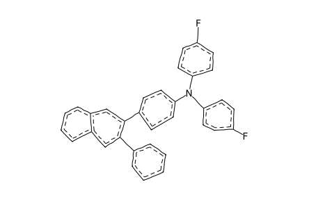 Fc1ccc(N(c2ccc(F)cc2)c2ccc(-c3cc4ccccc4cc3-c3ccccc3)cc2)cc1